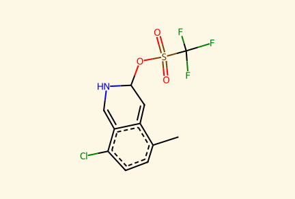 Cc1ccc(Cl)c2c1=CC(OS(=O)(=O)C(F)(F)F)NC=2